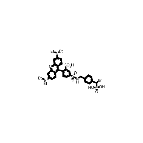 CCN(CC)c1ccc2c(-c3ccc(S(=O)(=O)NCc4ccc(C(Br)P(=O)(O)O)cc4)cc3S(=O)(=O)O)c3ccc(=[N+](CC)CC)cc-3oc2c1